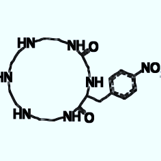 O=C1CNC(Cc2ccc([N+](=O)[O-])cc2)C(=O)NCCNCCNCCNCCN1